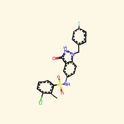 Cc1c(Cl)cccc1S(=O)(=O)Nc1ccc2c(c1)c(=O)[nH]n2Cc1ccc(F)cc1